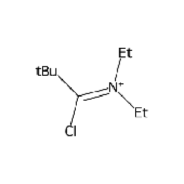 CC[N+](CC)=C(Cl)C(C)(C)C